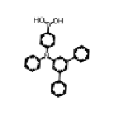 OB(O)c1ccc(N(c2ccccc2)c2cc(-c3ccccc3)cc(-c3ccccc3)c2)cc1